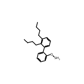 CCCCc1cccc(-c2ccccc2O[SiH3])c1CCCC